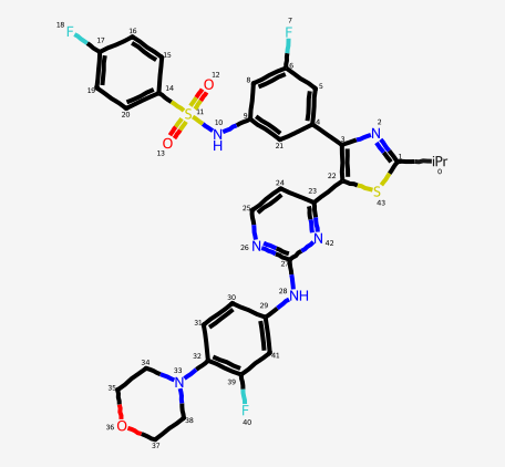 CC(C)c1nc(-c2cc(F)cc(NS(=O)(=O)c3ccc(F)cc3)c2)c(-c2ccnc(Nc3ccc(N4CCOCC4)c(F)c3)n2)s1